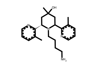 Cc1cccnc1C1CC(C)(O)C[C@@H](c2ncccc2C)N1CCCCN